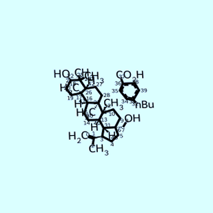 C=C(C)[C@@H]1CC[C@]2(CO)CC[C@]3(C)[C@H](CC[C@@H]4[C@@]5(C)CC[C@H](O)C(C)(C)[C@@H]5CC[C@]43C)[C@@H]12.CCCCc1ccc(C(=O)O)cc1